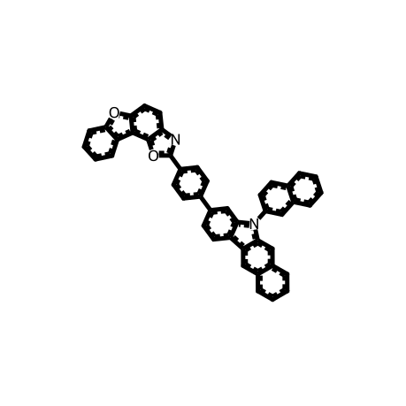 c1ccc2cc(-n3c4cc(-c5ccc(-c6nc7ccc8oc9ccccc9c8c7o6)cc5)ccc4c4cc5ccccc5cc43)ccc2c1